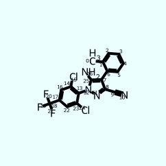 Cc1ccccc1-c1c(C#N)nn(-c2c(Cl)cc(C(F)(F)F)cc2Cl)c1N